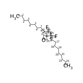 CCCCCCCCSC(F)(F)C1(C(F)(F)SCCCCCCCC)COC1